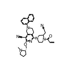 C=CC(=O)N1CCN(c2nc(OC[C@@H]3CCCN3C)c(C#N)c3c2CCN(c2cccc4ccccc24)C3)CC1CC#N